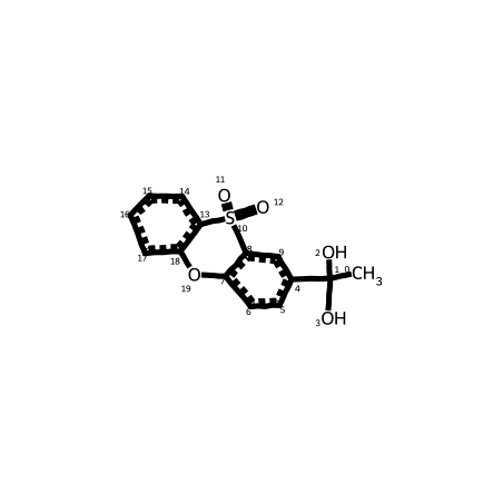 CC(O)(O)c1ccc2c(c1)S(=O)(=O)c1ccccc1O2